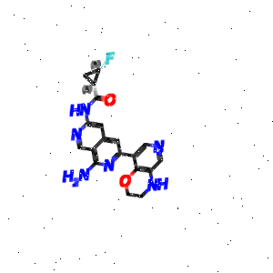 Nc1nc(-c2cncc3c2OCCN3)cc2cc(NC(=O)[C@@H]3C[C@@H]3F)ncc12